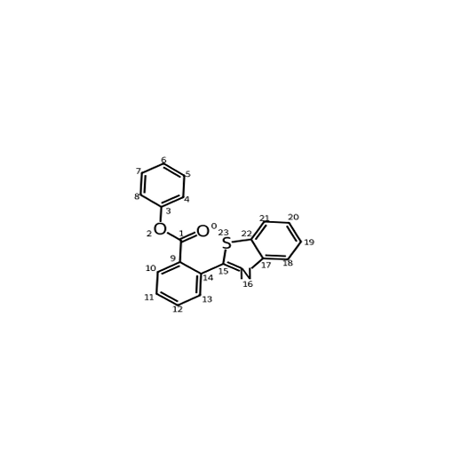 O=C(Oc1ccccc1)c1ccccc1-c1nc2ccccc2s1